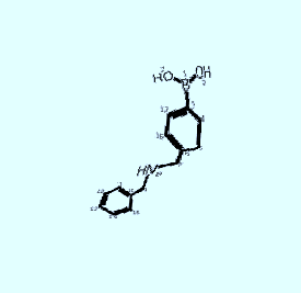 OB(O)c1ccc(CNCc2ccccc2)cc1